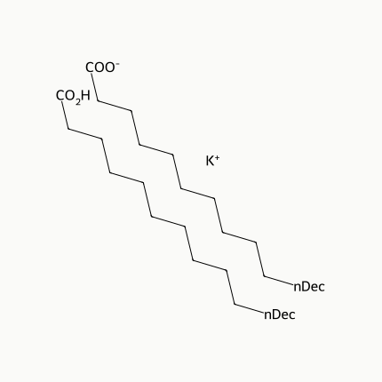 CCCCCCCCCCCCCCCCCCCC(=O)O.CCCCCCCCCCCCCCCCCCCC(=O)[O-].[K+]